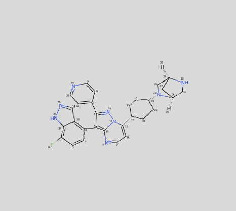 Fc1ccc(-c2c(-c3ccncc3)nn3c2nccc3[C@H]2CC[C@@H](N3C[C@@H]4C[C@H]3CN4)CC2)c2cn[nH]c12